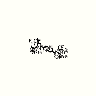 COC[C@H](c1cnn2cc([C@H](CCC(C)(C)C(F)(F)F)NC(=O)c3nonc3C)nc2c1)N1C[C@](C)(C(F)(F)F)NC1=O